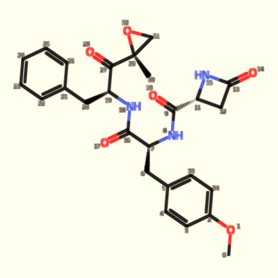 COc1ccc(C[C@H](NC(=O)[C@H]2CC(=O)N2)C(=O)N[C@@H](Cc2ccccc2)C(=O)[C@@]2(C)CO2)cc1